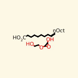 CCCCCCCC/C=C\CCCCCCCC(=O)O.OCCOC1OC1O